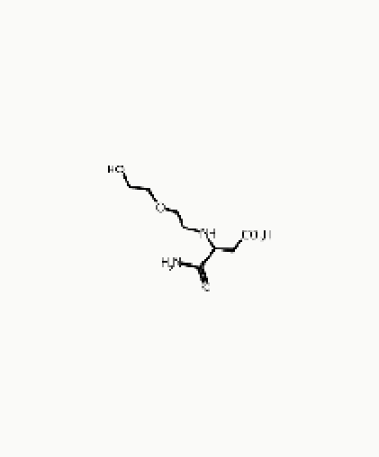 NC(=O)[C@H](CC(=O)O)NCCOCCO